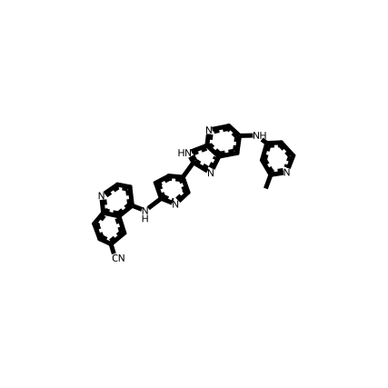 Cc1cc(Nc2cnc3[nH]c(-c4ccc(Nc5ccnc6ccc(C#N)cc56)nc4)nc3c2)ccn1